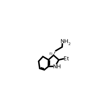 CCC1NC2=C(CCC=C2)[C@@H]1CCN